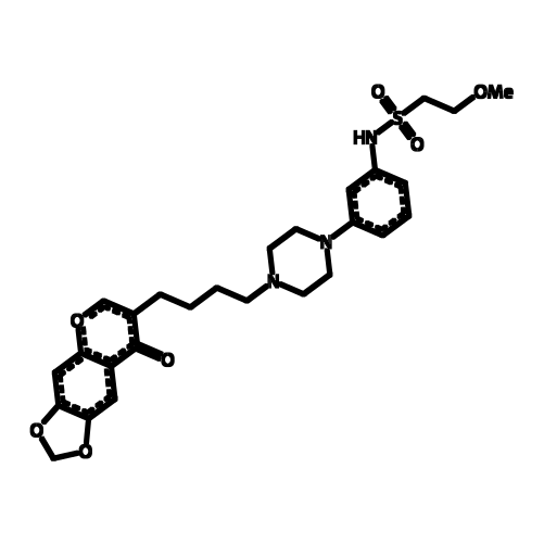 COCCS(=O)(=O)Nc1cccc(N2CCN(CCCCc3coc4cc5c(cc4c3=O)OCO5)CC2)c1